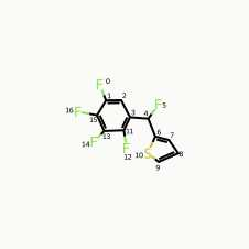 Fc1cc(C(F)c2cccs2)c(F)c(F)c1F